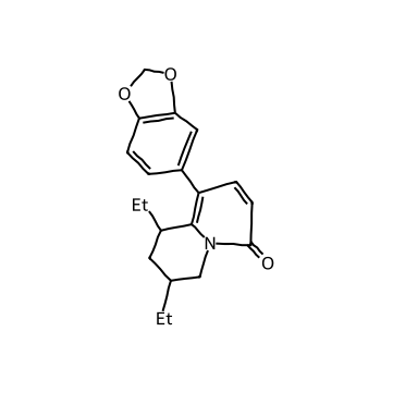 CCC1CC(CC)c2c(-c3ccc4c(c3)OCO4)ccc(=O)n2C1